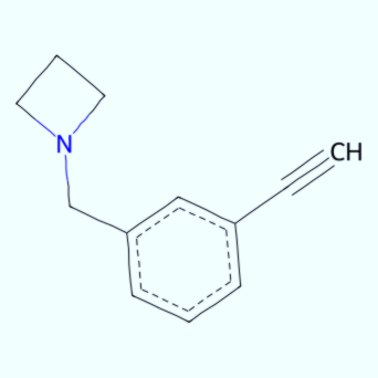 C#Cc1cccc(CN2CCC2)c1